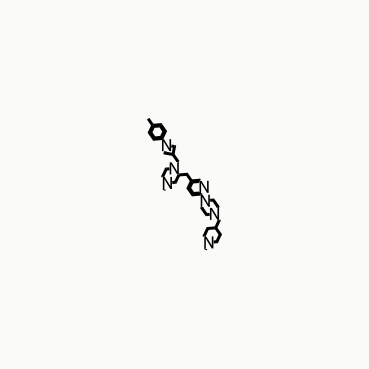 Cc1ccc(N2CC(CN3CCN(C)CC3Cc3ccc(N4CCN(CC5CCN(C)CC5)CC4)nc3)C2)cc1